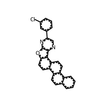 Clc1cccc(-c2cnc3c(n2)oc2ccc4c5ccc6ccccc6c5ccc4c23)c1